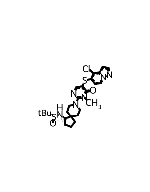 Cn1c(N2CCC3(CCC[C@H]3N[S+]([O-])C(C)(C)C)CC2)ncc(Sc2ccn3nccc3c2Cl)c1=O